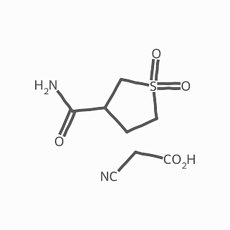 N#CCC(=O)O.NC(=O)C1CCS(=O)(=O)C1